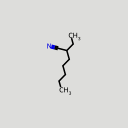 CCCCCC(C#N)CC